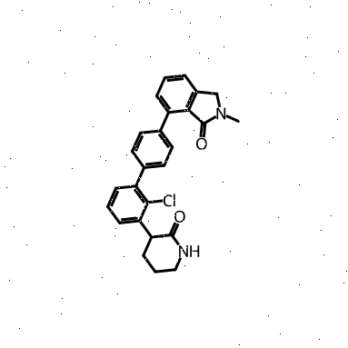 CN1Cc2cccc(-c3ccc(-c4cccc(C5CCCNC5=O)c4Cl)cc3)c2C1=O